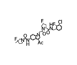 CC(=O)c1cn(CC(=O)N2C[C@H](F)C[C@H]2C(=O)NCc2cccc(Cl)c2F)c2ccc(NC(=O)N3CCC(C)(F)C3)cc12